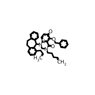 C=CCCCN1CN(C2c3ccccc3CCc3cccc(CC=C)c32)n2ccc(=O)c(OCc3ccccc3)c2C1=O